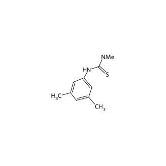 CNC(=S)Nc1cc(C)cc(C)c1